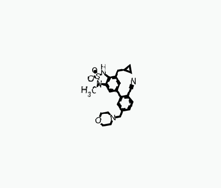 CN1c2cc(-c3cc(CN4CCOCC4)ccc3C#N)cc(CC3CC3)c2NS1(=O)=O